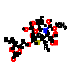 COC(=O)N(c1oc(=O)oc1C)[C@@H](C(=O)O)C(C)(C)SC(=O)OCc1oc(=O)oc1C